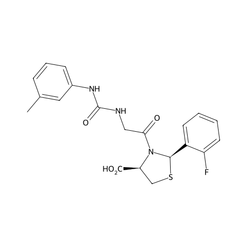 Cc1cccc(NC(=O)NCC(=O)N2[C@@H](c3ccccc3F)SC[C@H]2C(=O)O)c1